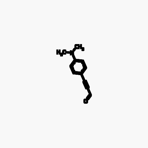 CN(C)c1ccc(C#CC=O)cc1